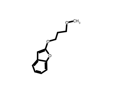 COCCCOc1cc2ccccc2o1